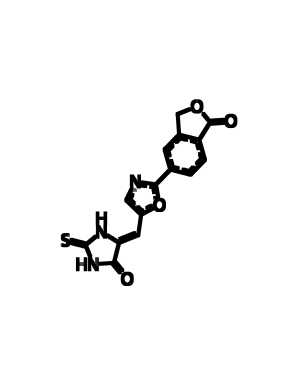 O=C1NC(=S)N/C1=C\c1cnc(-c2ccc3c(c2)COC3=O)o1